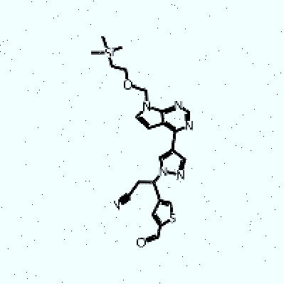 C[Si](C)(C)CCOCn1ccc2c(-c3cnn(C(CC#N)c4csc(C=O)c4)c3)ncnc21